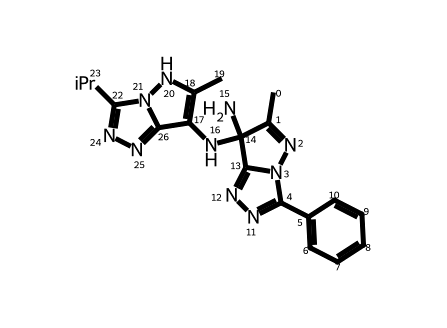 CC1=Nn2c(-c3ccccc3)nnc2C1(N)Nc1c(C)[nH]n2c(C(C)C)nnc12